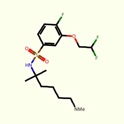 CNCCCCC(C)(C)NS(=O)(=O)c1ccc(F)c(OCC(F)F)c1